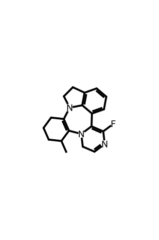 CC1CCCC2=C1N1CC=NC(F)=C1c1cccc3c1N2CC3